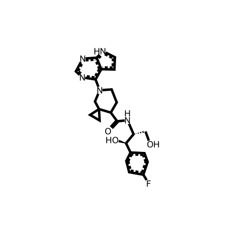 O=C(N[C@H](CO)[C@H](O)c1ccc(F)cc1)C1CCN(c2ncnc3[nH]ccc23)CC12CC2